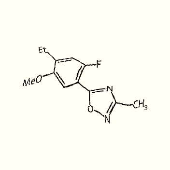 CCc1cc(F)c(-c2nc(C)no2)cc1OC